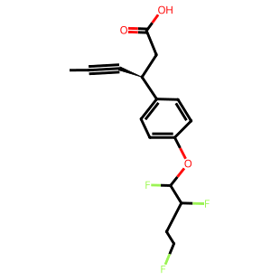 CC#C[C@@H](CC(=O)O)c1ccc(OC(F)C(F)CCF)cc1